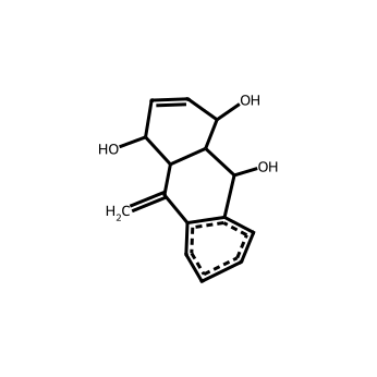 C=C1c2ccccc2C(O)C2C(O)C=CC(O)C12